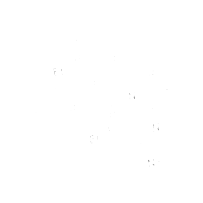 CCc1cccc(CC)c1C(C(=O)n1cccc1-n1ccnc1)c1ccccc1